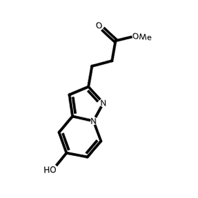 COC(=O)CCc1cc2cc(O)ccn2n1